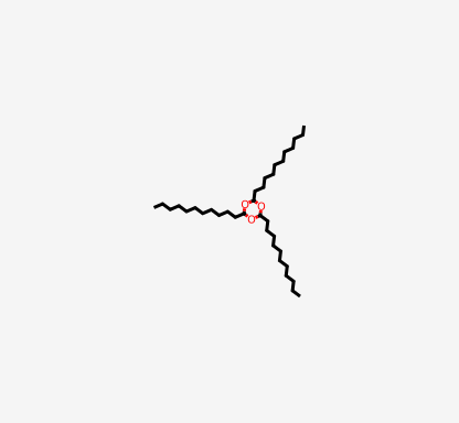 CCCCCCCCCCCC1OC(CCCCCCCCCCC)OC(CCCCCCCCCCC)O1